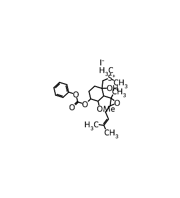 COC1C(OC(=O)Oc2ccccc2)CCC(O)(C[S+](C)C)C1C1(C)OC1CC=C(C)C.[I-]